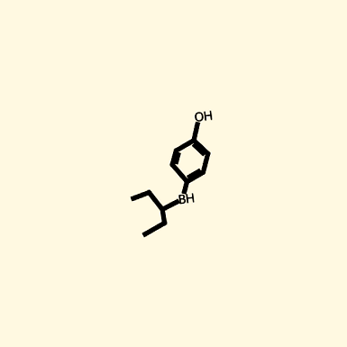 CCC(Bc1ccc(O)cc1)CC